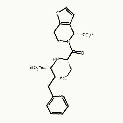 CCOC(=O)[C@@H](CCc1ccccc1)N[C@@H](COC(C)=O)C(=O)N1CCc2sccc2[C@@H]1C(=O)O